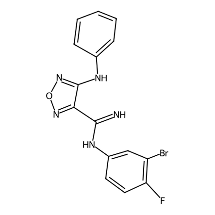 N=C(Nc1ccc(F)c(Br)c1)c1nonc1Nc1ccccc1